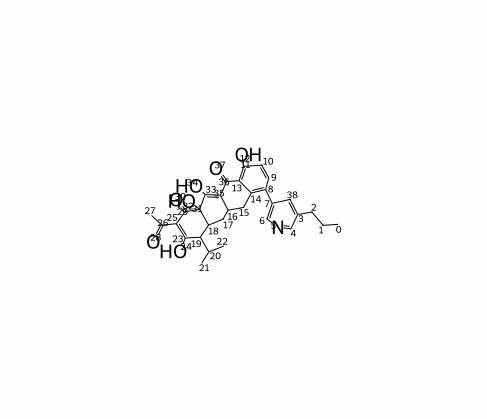 CCCc1cncc(-c2ccc(O)c3c2CC2CC4C(C(C)C)C(O)=C(C(C)=O)C(=O)C4(O)C(O)=C2C3=O)c1